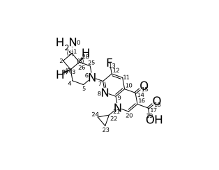 N[C@H]1C[C@H]2CCN(c3nc4c(cc3F)c(=O)c(C(=O)O)cn4C3CC3)C[C@H]21